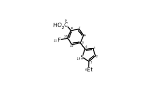 CCc1ccc(-c2ccc(C(=O)O)c(F)c2)s1